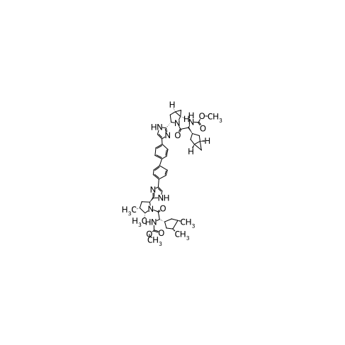 COC(=O)NC(C(=O)N1[C@H](C)[C@H](C)C[C@H]1c1nc(-c2ccc(-c3ccc(-c4c[nH]c([C@@H]5C[C@H]6C[C@H]6N5C(=O)C(NC(=O)OC)[C@H]5C[C@@H]6C[C@@H]6C5)n4)cc3)cc2)c[nH]1)[C@@H]1C[C@@H](C)[C@@H](C)C1